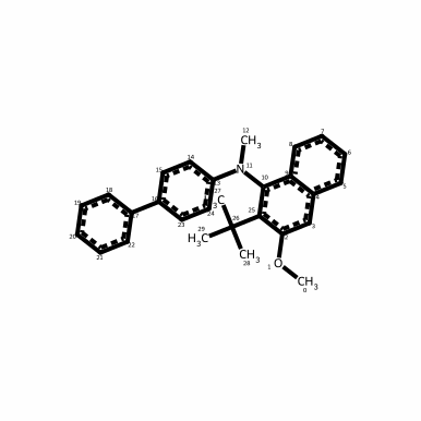 COc1cc2ccccc2c(N(C)c2ccc(-c3ccccc3)cc2)c1C(C)(C)C